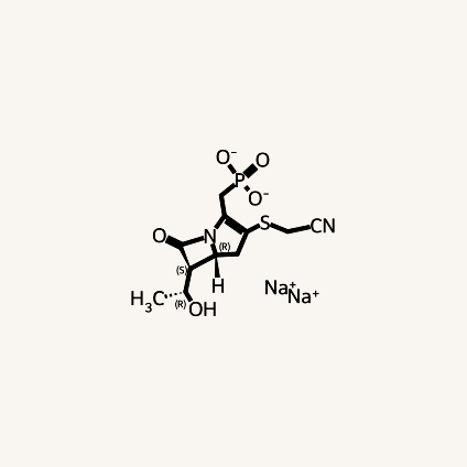 C[C@@H](O)[C@H]1C(=O)N2C(CP(=O)([O-])[O-])=C(SCC#N)C[C@H]12.[Na+].[Na+]